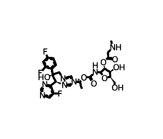 CNCC(=O)O[C@H]1C(NC(=O)OC(C)[n+]2cnn(C[C@](O)(c3ccc(F)cc3F)[C@@H](C)c3ncncc3F)c2)O[C@H](CO)[C@@H]1O